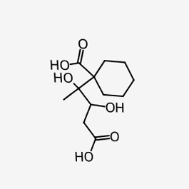 CC(O)(C(O)CC(=O)O)C1(C(=O)O)CCCCC1